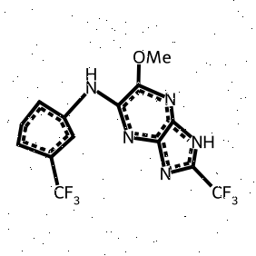 COc1nc2[nH]c(C(F)(F)F)nc2nc1Nc1cccc(C(F)(F)F)c1